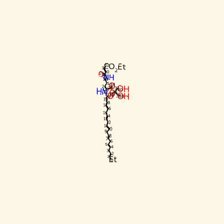 CCC=CCC=CCC=CCC=CCC=CCC=CCCC(=O)NC(CCCNC(=O)C=CC(=O)OCC)C(=O)OC(CO)CO